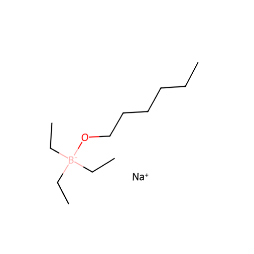 CCCCCCO[B-](CC)(CC)CC.[Na+]